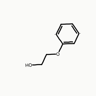 OCCOc1[c]cc[c]c1